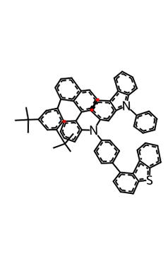 CC(C)(C)c1cc(-c2cccc3cccc(-c4ccccc4N(c4ccc(-c5cccc6sc7ccccc7c56)cc4)c4ccc5c6ccccc6n(-c6ccccc6)c5c4)c23)cc(C(C)(C)C)c1